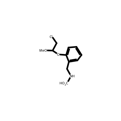 COC(CCl)Oc1ccccc1CNC(=O)O